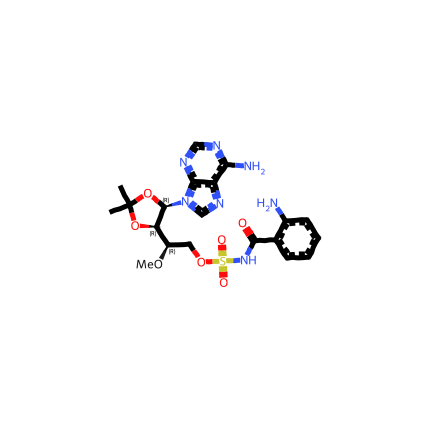 CO[C@H](COS(=O)(=O)NC(=O)c1ccccc1N)[C@H]1OC(C)(C)O[C@H]1n1cnc2c(N)ncnc21